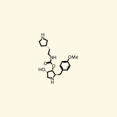 COc1ccc(C[C@H]2NC[C@H](O)[C@H]2OC(=O)NCC[C@@H]2CCNC2)cc1